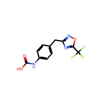 O=C(O)Nc1ccc(Cc2noc(C(F)(F)F)n2)cc1